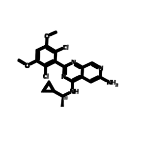 COc1cc(OC)c(Cl)c(-c2nc(N[C@@H](C)C3CC3)c3cc(N)ncc3n2)c1Cl